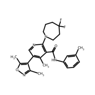 Cc1cccc(NC(=O)c2c(N3CCCC(F)(F)CC3)ncc(-c3c(C)noc3C)c2C)c1